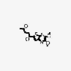 COc1nc2cc(C(=O)CCC(C)=O)sc2nc1OC